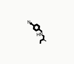 CC[C@H](C)CNCc1ccc(C#N)cc1